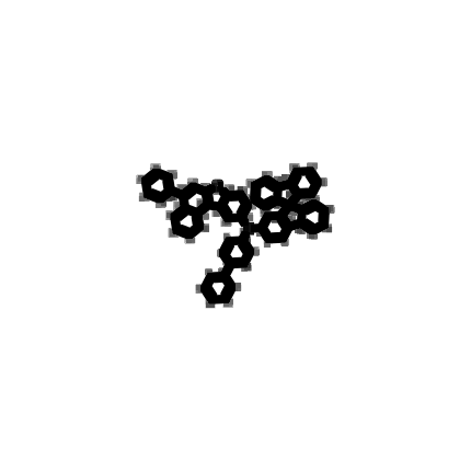 C1=CC(N(c2ccc(-c3ccccc3)cc2)c2ccc3oc4cc(-c5ccccc5)c5ccccc5c4c3c2)CC2=C1c1ccccc1C21c2ccccc2-c2ccccc21